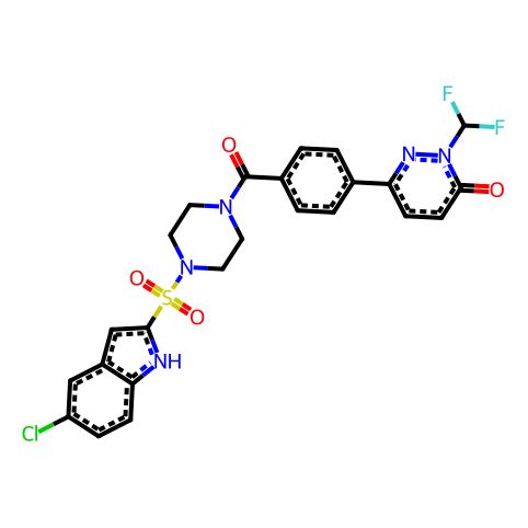 O=C(c1ccc(-c2ccc(=O)n(C(F)F)n2)cc1)N1CCN(S(=O)(=O)c2cc3cc(Cl)ccc3[nH]2)CC1